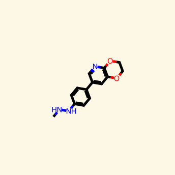 CNNc1ccc(-c2cnc3c(c2)OCCO3)cc1